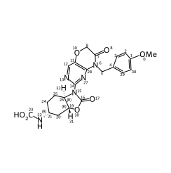 COc1ccc(CN2C(=O)COc3cnc(N4C(=O)O[C@@H]5C[C@H](NC(=O)O)CC[C@H]54)nc32)cc1